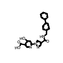 O=C(NCc1ccc(-c2ccccc2)cc1)c1cnn(-c2cc(O)c(C(=O)O)cn2)c1